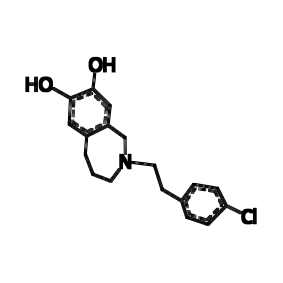 Oc1cc2c(cc1O)CN(CCc1ccc(Cl)cc1)CCC2